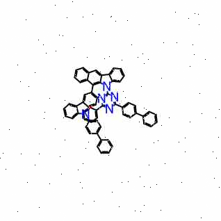 c1ccc(-c2ccc(-c3nc(-c4ccccc4)nc(-n4c5ccccc5c5cc6ccccc6c(-c6ccc7c(c6)c6ccccc6n7-c6ccc(-c7ccccc7)cc6)c54)n3)cc2)cc1